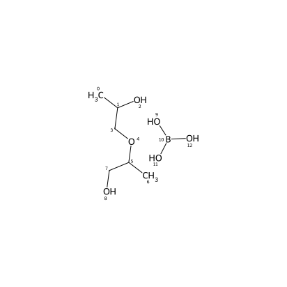 CC(O)COC(C)CO.OB(O)O